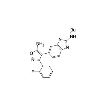 CC[C@@H](C)Nc1nc2ccc(-c3c(-c4ccccc4F)noc3N)cc2s1